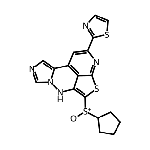 [O-][S+](c1sc2nc(-c3nccs3)cc3c2c1[nH]n1cncc31)C1CCCC1